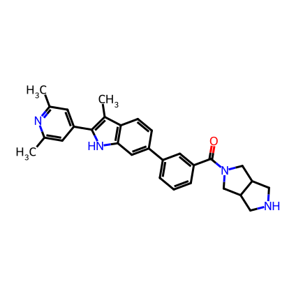 Cc1cc(-c2[nH]c3cc(-c4cccc(C(=O)N5CC6CNCC6C5)c4)ccc3c2C)cc(C)n1